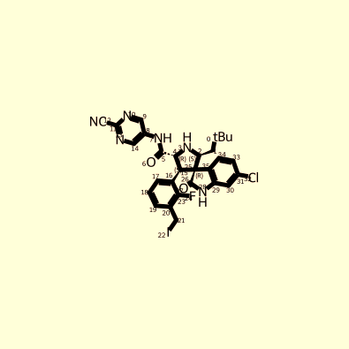 CC(C)(C)C[C@@H]1N[C@@H](C(=O)Nc2cnc(C#N)nc2)[C@H](c2cccc(CI)c2F)[C@]12C(=O)Nc1cc(Cl)ccc12